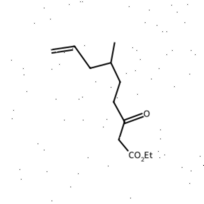 C=CCC(C)CCC(=O)CC(=O)OCC